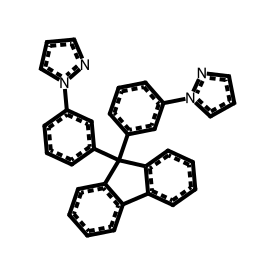 c1cc(-n2cccn2)cc(C2(c3cccc(-n4cccn4)c3)c3ccccc3-c3ccccc32)c1